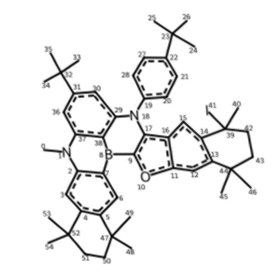 CN1c2cc3c(cc2B2c4oc5cc6c(cc5c4N(c4ccc(C(C)(C)C)cc4)c4cc(C(C)(C)C)cc1c42)C(C)(I)CCC6(C)C)C(C)(C)CCC3(C)C